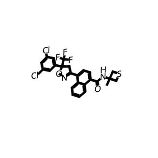 CC1(NC(=O)c2ccc(C3=NOC(c4cc(Cl)cc(Cl)c4)(C(F)(F)F)C3)c3ccccc23)CSC1